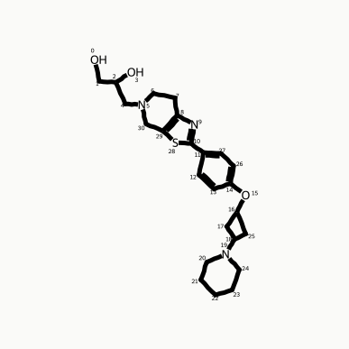 OCC(O)CN1CCc2nc(-c3ccc(OC4CC(N5CCCCC5)C4)cc3)sc2C1